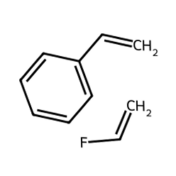 C=CF.C=Cc1ccccc1